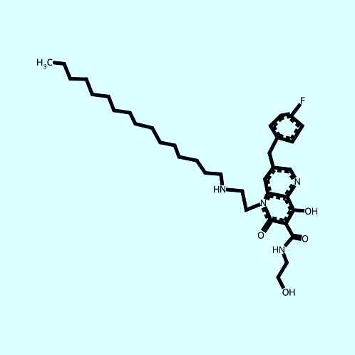 CCCCCCCCCCCCCCCCNCCn1c(=O)c(C(=O)NCCO)c(O)c2ncc(Cc3ccc(F)cc3)cc21